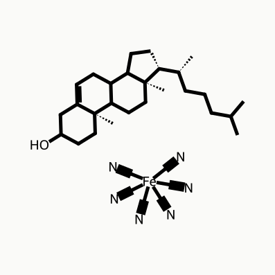 CC(C)CCC[C@@H](C)[C@H]1CCC2C3CC=C4CC(O)CC[C@]4(C)C3CC[C@@]21C.N#[C][Fe]([C]#N)([C]#N)([C]#N)([C]#N)[C]#N